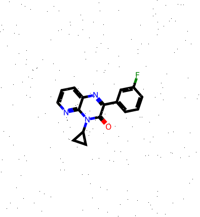 O=c1c(-c2cccc(F)c2)nc2cccnc2n1C1CC1